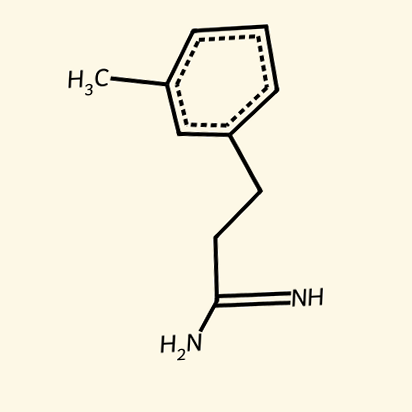 Cc1cccc(CCC(=N)N)c1